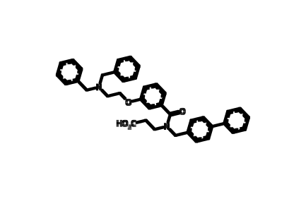 O=C(O)CCN(Cc1ccc(-c2ccccc2)cc1)C(=O)c1cccc(OCCN(Cc2ccccc2)Cc2ccccc2)c1